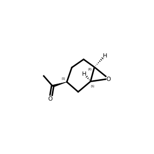 CC(=O)[C@H]1CC[C@H]2O[C@H]2C1